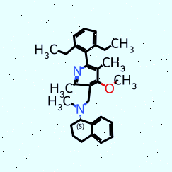 CCc1cccc(CC)c1-c1nc(C)c(CN(C)[C@H]2CCCc3ccccc32)c(OC)c1C